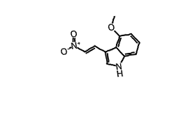 COc1cccc2[nH]cc(C=C[N+](=O)[O-])c12